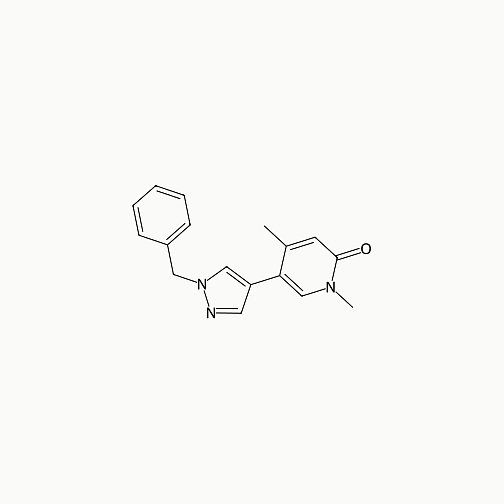 Cc1cc(=O)n(C)cc1-c1cnn(Cc2ccccc2)c1